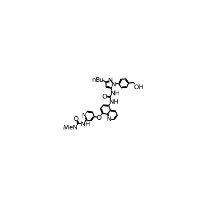 CCCCc1cc(NC(=O)Nc2ccc(Oc3ccnc(NC(=O)NC)c3)c3ncccc23)n(-c2ccc(CO)cc2)n1